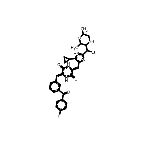 CCC(c1nc(/C=c2\[nH]c(=O)/c(=C/c3cccc(C(=O)c4ccc(F)cc4)c3)[nH]c2=O)c(C2CC2)[nH]1)C1NCC(C)OC1C